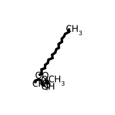 CCCCCCCCCCCCCCCCCC(=O)OC(CC)C(CO)OC(C)=O